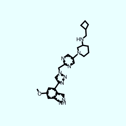 COc1cc(-c2cn(Cc3ncc(N4CCCC(NCC5CCC5)C4)cn3)nn2)c2cn[nH]c2c1